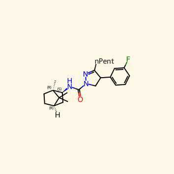 CCCCCC1=NN(C(=O)N[C@H]2C[C@H]3CC[C@]2(C)C3(C)C)CC1c1cccc(F)c1